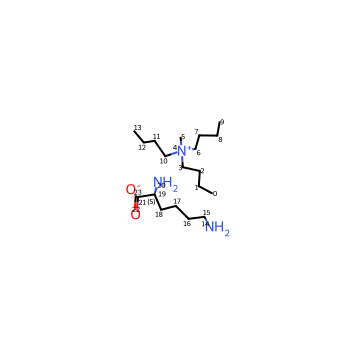 CCCC[N+](C)(CCCC)CCCC.NCCCC[C@H](N)C(=O)[O-]